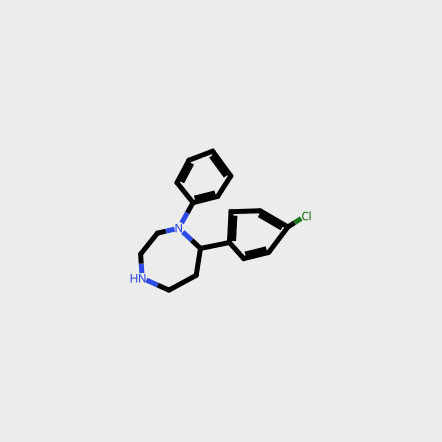 Clc1ccc(C2CCNCCN2c2ccccc2)cc1